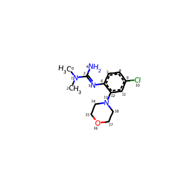 CN(C)/C(N)=N/c1ccc(Cl)cc1N1CCOCC1